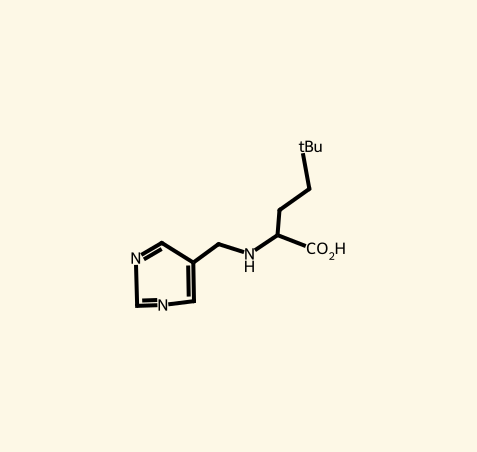 CC(C)(C)CCC(NCc1cncnc1)C(=O)O